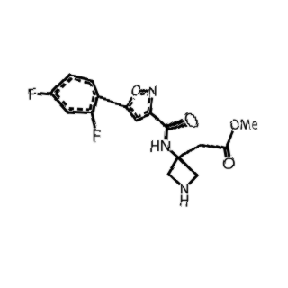 COC(=O)CC1(NC(=O)c2cc(-c3ccc(F)cc3F)on2)CNC1